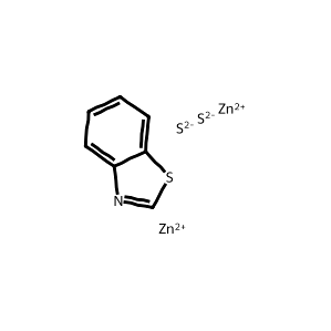 [S-2].[S-2].[Zn+2].[Zn+2].c1ccc2scnc2c1